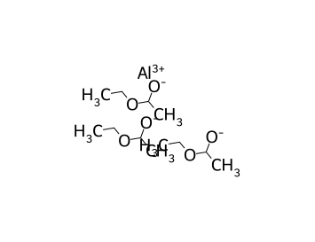 CCOC(C)[O-].CCOC(C)[O-].CCOC(C)[O-].[Al+3]